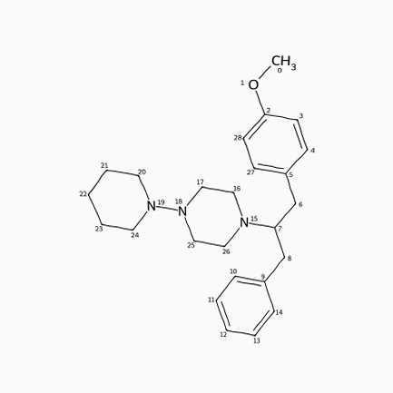 COc1ccc(CC(Cc2ccccc2)N2CCN(N3CCCCC3)CC2)cc1